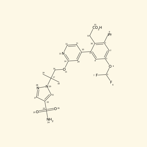 CC(C)c1cc(OC(F)F)cc(-c2ccnc(OCC(C)(C)n3cc(S(N)(=O)=O)cn3)c2)c1CC(=O)O